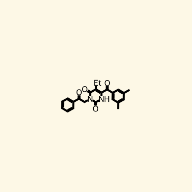 CCc1c(C(=O)c2cc(C)cc(C)c2)[nH]c(=O)n(CC(=O)c2ccccc2)c1=O